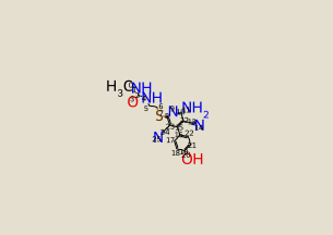 CNC(=O)NCCSc1nc(N)c(C#N)c(-c2ccc(O)cc2)c1C#N